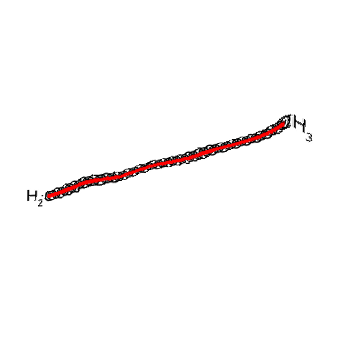 [CH2]COCCOCCOCCOCCOCCOCCOCCOCCOCCOCCOCCOCCOCCOCCOCCOCCOCCOCCOCCOCCOCCOCCOCCOCCOCCOCCOCCOCCOCCOCCOCCOCCOCCOCCOCCOCCOCCOCCOCCOCCOCCOCCOCCOCCOCCOC